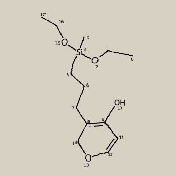 CCO[Si](C)(CCCC1=C(O)C=COC1)OCC